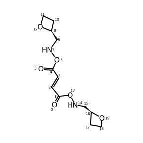 O=C(/C=C/C(=O)ONC[C@@H]1CCO1)ONC[C@@H]1CCO1